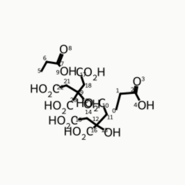 CCC(=O)O.CCC(=O)O.O=C(O)CC(O)(CC(=O)O)C(=O)O.O=C(O)CC(O)(CC(=O)O)C(=O)O